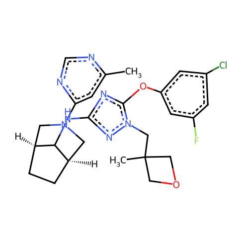 Cc1cc(N2C[C@H]3CC[C@@H](C2)C3Nc2nc(Oc3cc(F)cc(Cl)c3)n(CC3(C)COC3)n2)ncn1